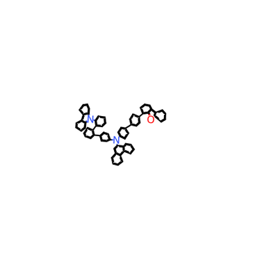 c1ccc(-c2ccccc2-n2c3ccccc3c3ccccc32)c(-c2ccc(N(c3ccc(-c4ccc(-c5cccc6c5oc5ccccc56)cc4)cc3)c3cc4ccccc4c4ccccc34)cc2)c1